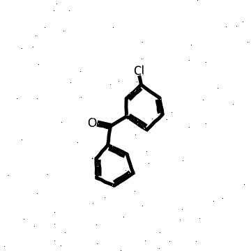 O=C(c1[c]cccc1)c1cccc(Cl)c1